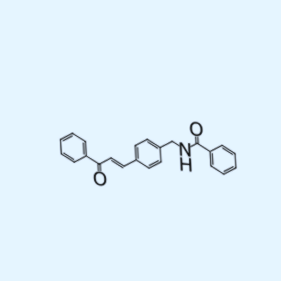 O=C(C=Cc1ccc(CNC(=O)c2ccccc2)cc1)c1ccccc1